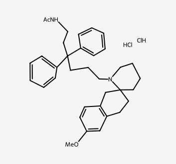 COc1ccc2c(c1)CCC1(CCCCN1CCCC(CCNC(C)=O)(c1ccccc1)c1ccccc1)C2.Cl.Cl